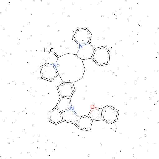 C=C1CC2C(CCc3cc4c(cc3-c3cccc[n+]31)c1cccc3c5ccc6c7ccccc7oc6c5n4c13)c1ccccc1-c1cccc[n+]12